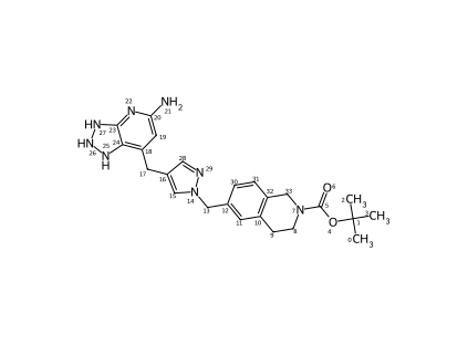 CC(C)(C)OC(=O)N1CCc2cc(Cn3cc(Cc4cc(N)nc5c4NNN5)cn3)ccc2C1